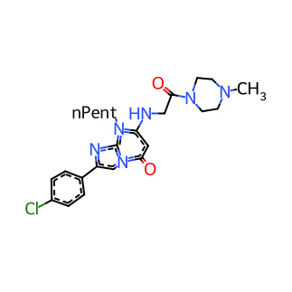 CCCCCn1c(NCC(=O)N2CCN(C)CC2)cc(=O)n2cc(-c3ccc(Cl)cc3)nc12